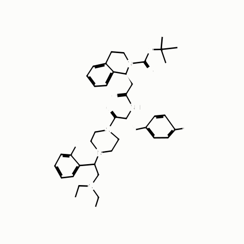 CCN(CC)CC(c1ccccc1Cl)N1CCN(C(=O)[C@@H](Cc2ccc(Cl)cc2)NC(=O)C[C@H]2c3ccccc3CCN2C(=O)OC(C)(C)C)CC1